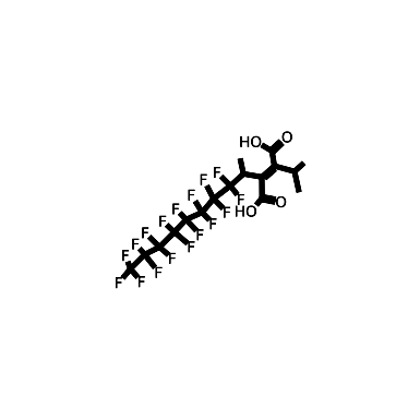 CC(C)C(C(=O)O)=C(C(=O)O)C(C)C(F)(F)C(F)(F)C(F)(F)C(F)(F)C(F)(F)C(F)(F)C(F)(F)C(F)(F)F